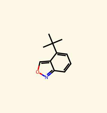 CC(C)(C)c1cccc2nocc12